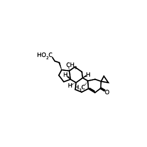 C[C@]12CC[C@H]3[C@@H](CCC4=CC(=O)C5(CC5)C[C@@]43C)[C@@H]1CC[C@H]2CCC(=O)O